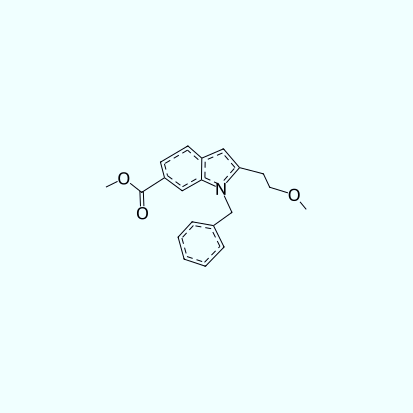 COCCc1cc2ccc(C(=O)OC)cc2n1Cc1ccccc1